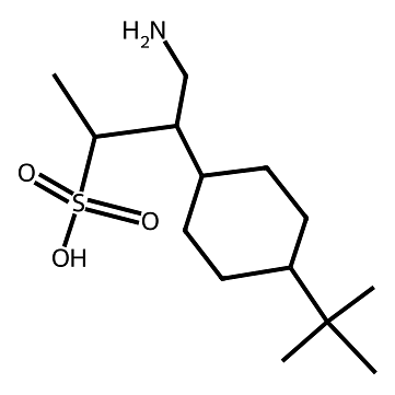 CC(C(CN)C1CCC(C(C)(C)C)CC1)S(=O)(=O)O